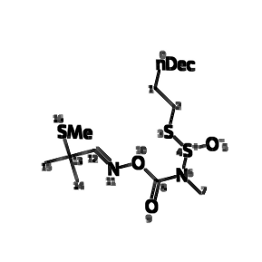 CCCCCCCCCCCCS[S+]([O-])N(C)C(=O)O/N=C/C(C)(C)SC